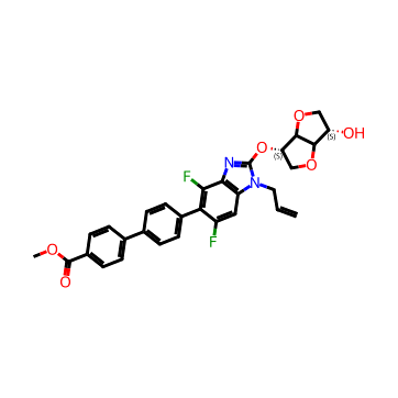 C=CCn1c(O[C@H]2COC3C2OC[C@@H]3O)nc2c(F)c(-c3ccc(-c4ccc(C(=O)OC)cc4)cc3)c(F)cc21